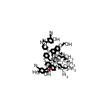 CSC(C)(C)c1cc(NC(=O)N(Cc2ccccc2Sc2ccc3nnc(-c4ccc(O)c(C#N)c4)n3c2)N(Cc2ccccc2Sc2ccc3nnc(-c4ccc(O)c(C#N)c4)n3c2)C(=O)Nc2cc(C(C)(C)SC)nn2-c2cccc(OCCO)c2)n(-c2ccc(OCCO)cc2)n1